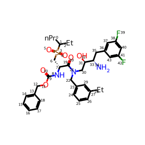 CCCC(CC)S(=O)(=O)C[C@@H](NC(=O)OCc1ccccc1)C(=O)N(Cc1cccc(CC)c1)C[C@@H](O)[C@@H](N)Cc1cc(F)cc(F)c1